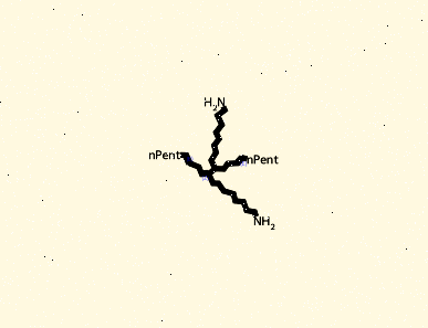 CCCCC/C=C/C/C=C(/CCCCCCCCN)C(CC/C=C/CCCCC)CCCCCCCCN